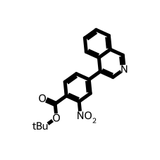 CC(C)(C)OC(=O)c1ccc(-c2cncc3ccccc23)cc1[N+](=O)[O-]